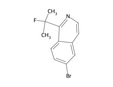 CC(C)(F)c1nccc2cc(Br)ccc12